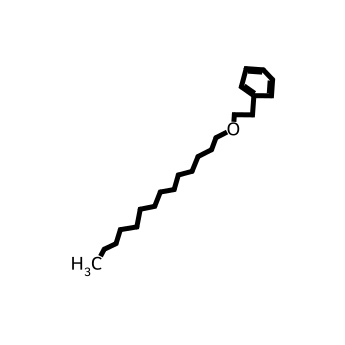 CCCCCCCCCCCCCCOCCc1ccccc1